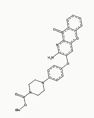 CC(C)(C)OC(=O)N1CCN(c2ccc(Oc3cc4oc5ccccc5c(=O)c4nc3N)cc2)CC1